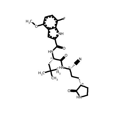 COc1ccc(F)c2[nH]c(C(=O)N[C@@H](CC(C)(C)C)C(=O)N[C@H](C#N)CC[C@@H]3CCNC3=O)cc12